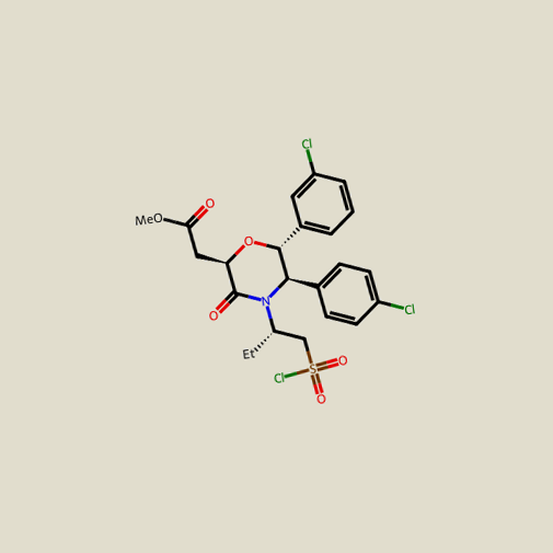 CC[C@@H](CS(=O)(=O)Cl)N1C(=O)[C@@H](CC(=O)OC)O[C@H](c2cccc(Cl)c2)[C@H]1c1ccc(Cl)cc1